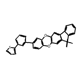 CC1(C)c2ccccc2-c2cc3c(cc21)Oc1ccc(-c2cccc(-c4cccs4)c2)cc1O3